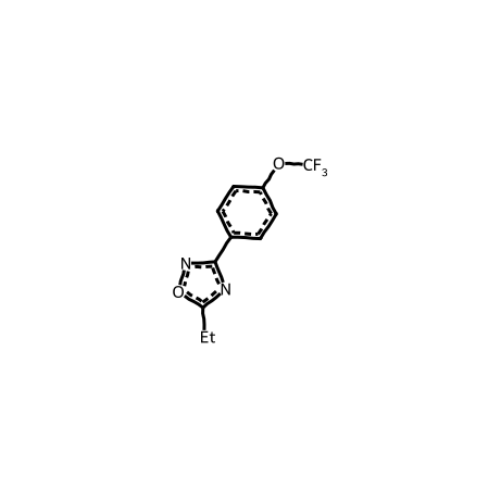 CCc1nc(-c2ccc(OC(F)(F)F)cc2)no1